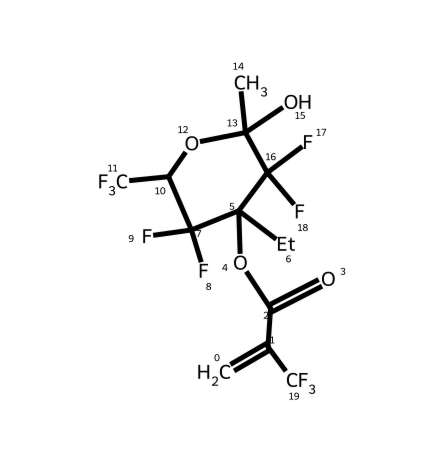 C=C(C(=O)OC1(CC)C(F)(F)C(C(F)(F)F)OC(C)(O)C1(F)F)C(F)(F)F